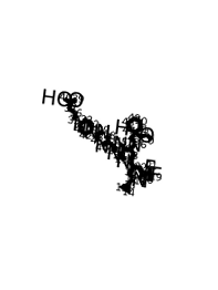 COCC1(CN(C)c2cc(-c3cc(C4CC4)nc(C(F)(F)F)c3)nc3nc(-c4cnc(N5CCN(CCCC(=O)O)CC5)cn4)[nH]c23)CCCCC1